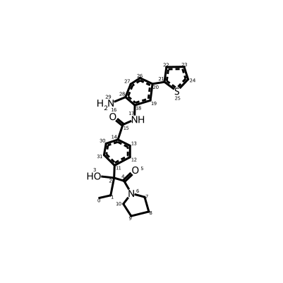 CCC(O)(C(=O)N1CCCC1)c1ccc(C(=O)Nc2cc(-c3cccs3)ccc2N)cc1